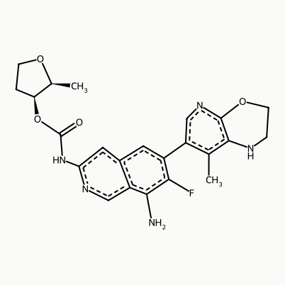 Cc1c(-c2cc3cc(NC(=O)O[C@H]4CCO[C@H]4C)ncc3c(N)c2F)cnc2c1NCCO2